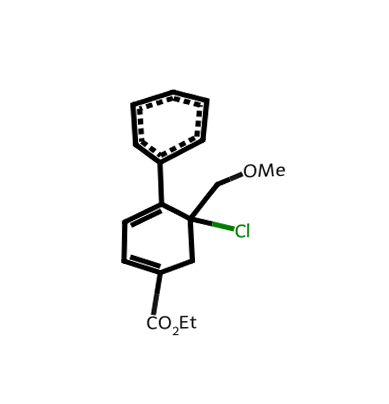 CCOC(=O)C1=CC=C(c2ccccc2)C(Cl)(COC)C1